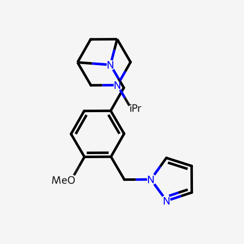 COc1ccc(CN2C3CC2CN(C(C)C)C3)cc1Cn1cccn1